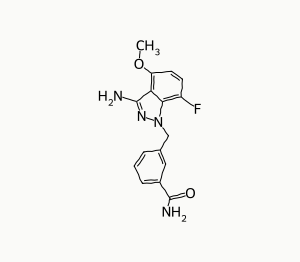 COc1ccc(F)c2c1c(N)nn2Cc1cccc(C(N)=O)c1